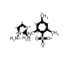 Cc1cc(C)c(S(=O)(=O)[O-])c(C)c1.Nc1scc[n+]1N